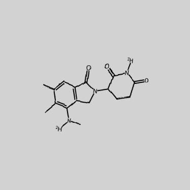 [2H]N1C(=O)CCC(N2Cc3c(cc(C)c(C)c3N([2H])C)C2=O)C1=O